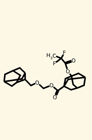 CC(F)(F)C(=O)OC12CC3CC(C1)CC(C(=O)OCOCC1C4CC5CC(C4)CC1C5)(C3)C2